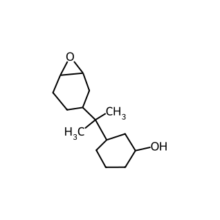 CC(C)(C1CCCC(O)C1)C1CCC2OC2C1